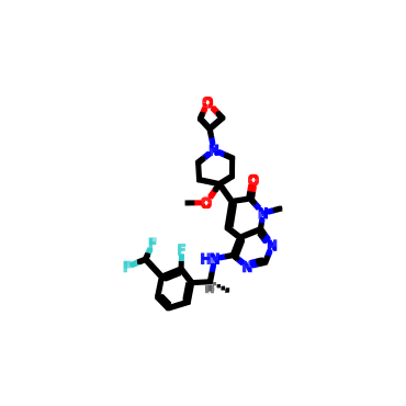 COC1(c2cc3c(N[C@H](C)c4cccc(C(F)F)c4F)ncnc3n(C)c2=O)CCN(C2COC2)CC1